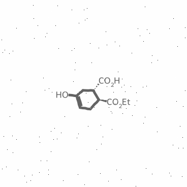 CCOC(=O)[C@H]1CC=C(O)C[C@@H]1C(=O)O